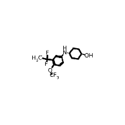 CC(F)(F)c1cc(N[C@H]2CC[C@H](O)CC2)ccc1OC(F)(F)F